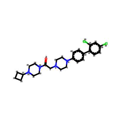 O=C(CN1CCN(c2ccc(-c3ccc(Cl)cc3Cl)cc2)CC1)N1CCN(C2CCC2)CC1